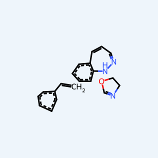 C1=Cc2ccccc2NN=C1.C1=NCCO1.C=Cc1ccccc1